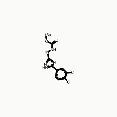 CC(C)(C)OC(=O)NNc1n[nH]c(-c2ccc(Cl)c(Cl)c2)n1